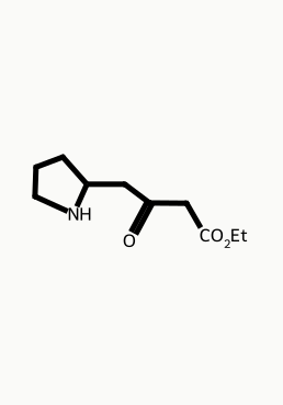 CCOC(=O)CC(=O)CC1CCCN1